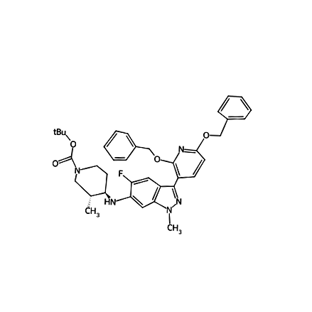 C[C@@H]1CN(C(=O)OC(C)(C)C)CC[C@H]1Nc1cc2c(cc1F)c(-c1ccc(OCc3ccccc3)nc1OCc1ccccc1)nn2C